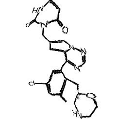 Cc1cc(Cl)cc(-c2ncnn3cc(Cn4c(=O)cc[nH]c4=O)cc23)c1C[C@@H]1CNCCO1